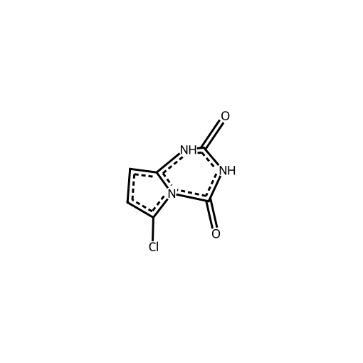 O=c1[nH]c(=O)n2c(Cl)ccc2[nH]1